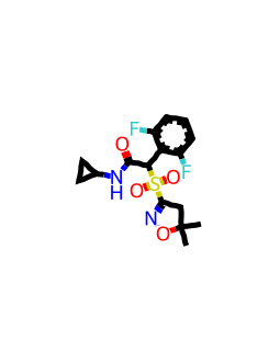 CC1(C)CC(S(=O)(=O)C(C(=O)NC2CC2)c2c(F)cccc2F)=NO1